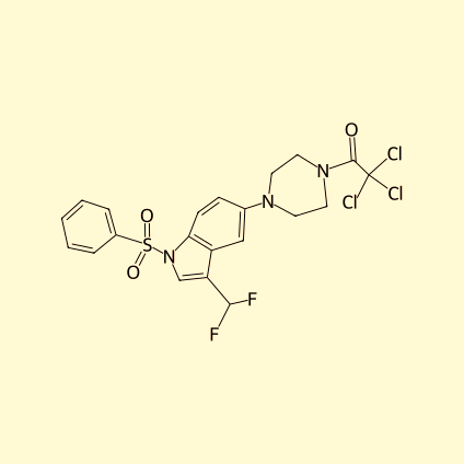 O=C(N1CCN(c2ccc3c(c2)c(C(F)F)cn3S(=O)(=O)c2ccccc2)CC1)C(Cl)(Cl)Cl